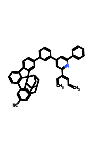 C=C/C=C(\C=C)c1cc(-c2cccc(-c3ccc4c(c3)C3(c5c(-c6cccc(C#N)c6)cccc5-4)C4CC5CC(C4)CC3C5)c2)cc(-c2ccccc2)n1